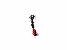 O=C(O)NCCOCCOCCOCCOCCCc1ccc2c(c1)C(=O)N(C1CCC(=O)NC1=O)C2=O